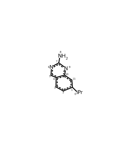 CC(C)c1ccc2cnc(N)nc2c1